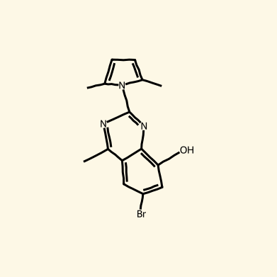 Cc1nc(-n2c(C)ccc2C)nc2c(O)cc(Br)cc12